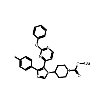 CC(C)(C)OC(=O)N1CCC(n2cnc(-c3ccc(I)cc3)c2-c2ccnc(Oc3ccccc3)n2)CC1